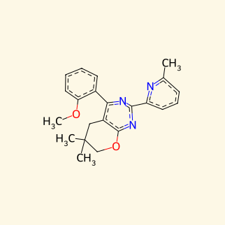 COc1ccccc1-c1nc(-c2cccc(C)n2)nc2c1CC(C)(C)CO2